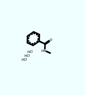 CNC(=O)c1ccccc1.Cl.Cl.Cl